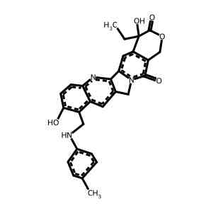 CCC1(O)C(=O)OCc2c1cc1n(c2=O)Cc2cc3c(CNc4ccc(C)cc4)c(O)ccc3nc2-1